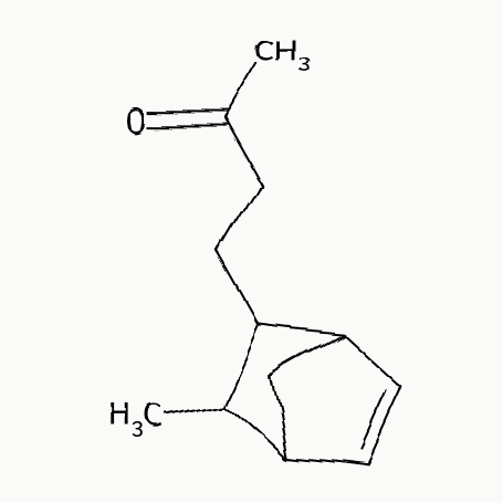 CC(=O)CCC1C2C=CC(C2)C1C